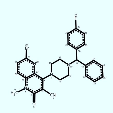 Cn1c(=O)c(C#N)c(N2CCN(C(c3ccccc3)c3ccc(F)cc3)CC2)c2nc(Br)ccc21